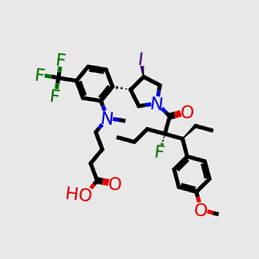 CCC[C@@](F)(C(=O)N1C[C@H](c2ccc(C(F)(F)F)cc2N(C)CCCC(=O)O)[C@@H](I)C1)[C@@H](CC)c1ccc(OC)cc1